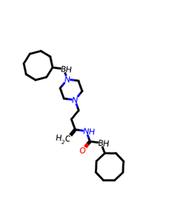 C=C(CCN1CCN(BC2CCCCCCC2)CC1)NC(=O)BC1CCCCCCC1